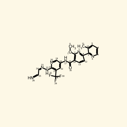 COc1nc(-c2ncccc2C)ccc1C(=O)Nc1cnc(N/N=C\C=N)c(C(F)(F)F)c1